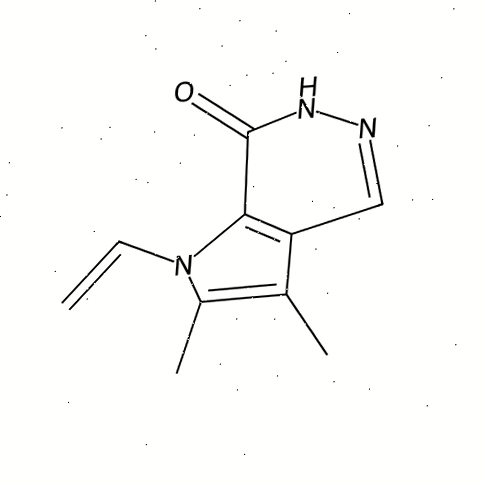 C=Cn1c(C)c(C)c2cn[nH]c(=O)c21